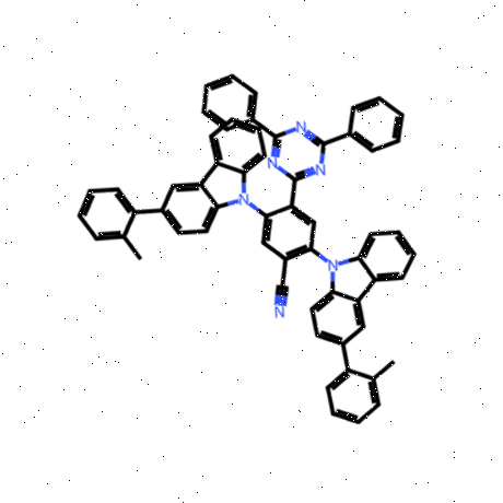 Cc1ccccc1-c1ccc2c(c1)c1ccccc1n2-c1cc(-c2nc(-c3ccccc3)nc(-c3ccccc3)n2)c(-n2c3ccccc3c3cc(-c4ccccc4C)ccc32)cc1C#N